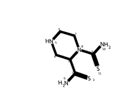 NC(=S)C1CNCCN1C(N)=S